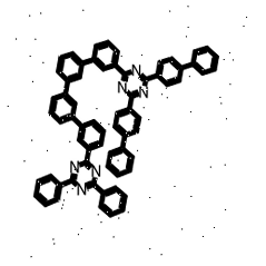 c1ccc(-c2ccc(-c3nc(-c4ccc(-c5ccccc5)cc4)nc(-c4cccc(-c5cccc(-c6cccc(-c7cccc(-c8nc(-c9ccccc9)nc(-c9ccccc9)n8)c7)c6)c5)c4)n3)cc2)cc1